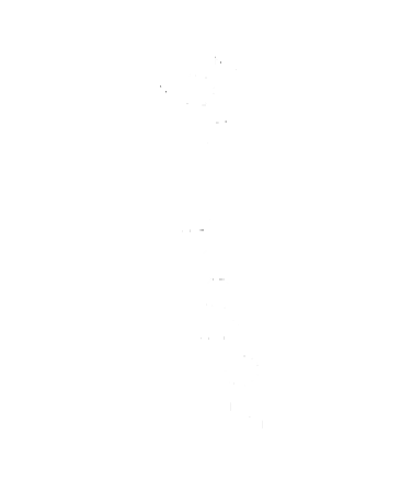 Nc1cc(N)cc(C(=O)OCCCCOC(=O)C=Cc2ccc(OC(=O)c3ccc(OC(F)(F)F)cc3)cc2)c1